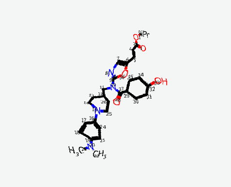 CC(C)OC(=O)/C=C/c1cnc(N(CC2CCN(c3ccc(N(C)C)cc3)CC2)C(=O)C2CCC(O)CC2)o1